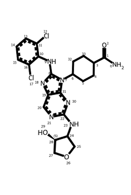 NC(=O)C1CCC(n2c(Nc3c(Cl)cccc3Cl)nc3cnc(NC4COC[C@H]4O)nc32)CC1